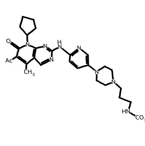 CC(=O)c1c(C)c2cnc(Nc3ccc(N4CCN(CCCNC(=O)O)CC4)cn3)nc2n(C2CCCC2)c1=O